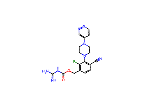 N#Cc1ccc(COC(=O)NC(=N)N)c(F)c1N1CCN(c2ccnnc2)CC1